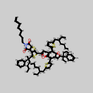 CCCCCCCCN1C(=O)c2sc3c(-c4cc5c(-c6ccc(CC(CC)CCCC)s6)c6oc(C(CC)(CCC)c7ccccc7)cc6c(-c6ccc(CC(CC)CCCC)s6)c5o4)sc(C(C)(CCCC)c4ccccc4)c3c2C1=O